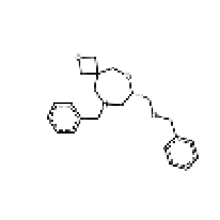 c1ccc(COC[C@@H]2CN(Cc3ccccc3)CC3(COC3)CO2)cc1